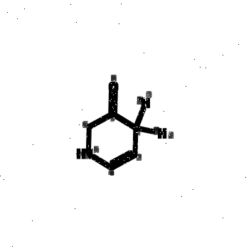 [2H]C1([2H])C=CNCC1=O